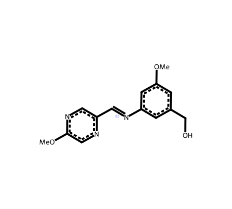 COc1cc(CO)cc(/N=C/c2cnc(OC)cn2)c1